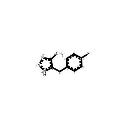 [CH2]c1nn[nH]c1Cc1ccc(F)cc1